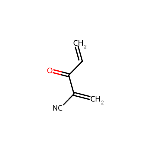 C=CC(=O)C(=C)C#N